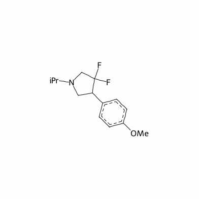 COc1ccc(C2CN(C(C)C)CC2(F)F)cc1